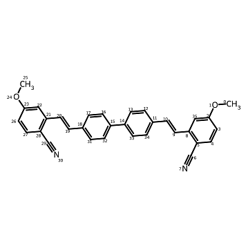 COc1ccc(C#N)c(/C=C/c2ccc(-c3ccc(/C=C/c4cc(OC)ccc4C#N)cc3)cc2)c1